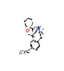 COc1ccc2c(c1)[C@]13CCN(C)[C@H](C2)[C@@H]1CC1(CCCCC1)OC3